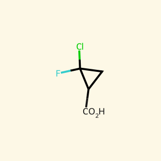 O=C(O)C1CC1(F)Cl